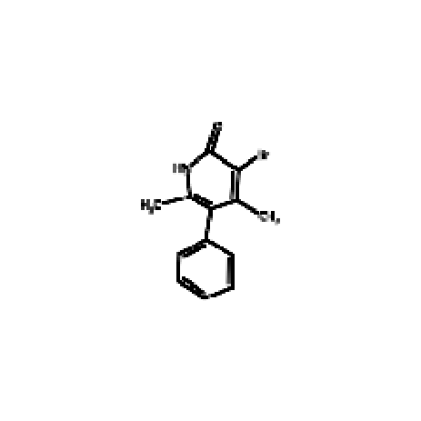 Cc1[nH]c(=O)c(Br)c(C)c1-c1ccccc1